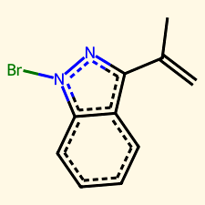 C=C(C)c1nn(Br)c2ccccc12